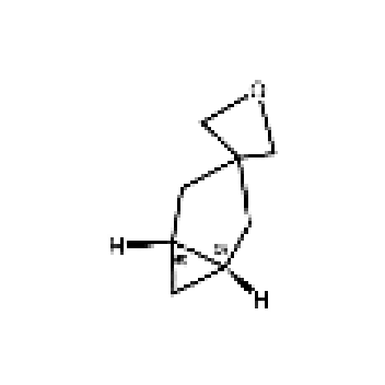 C1[C@@H]2CC3(COC3)C[C@H]12